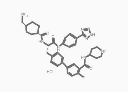 Cl.NC[C@H]1CC[C@H](C(=O)N[C@@H](Cc2ccc(-c3ccc(F)c(C(=O)NC4CCNCC4)c3)cc2)C(=O)Nc2ccc(-c3nn[nH]n3)cc2)CC1